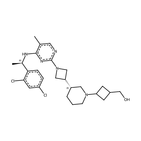 Cc1cnc(N2CC([C@H]3CCCN(C4CC(CO)C4)C3)C2)nc1N[C@H](C)c1ccc(Cl)cc1Cl